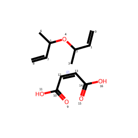 C=CC(C)OC(C)C=C.O=C(O)/C=C\C(=O)O